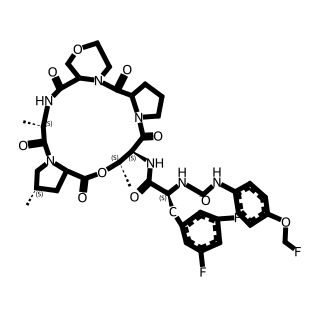 C[C@H]1CC2C(=O)O[C@@H](C)[C@H](NC(=O)[C@H](Cc3cc(F)cc(F)c3)NC(=O)Nc3ccc(OCF)cc3)C(=O)N3CCCC3C(=O)N3CCOCC3C(=O)N[C@@H](C)C(=O)N2C1